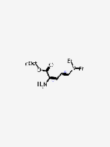 CCCCCCCCOC(=O)/C(N)=C\C=C\N(CC)CC